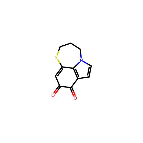 O=C1C=C2SCCCn3ccc(c32)C1=O